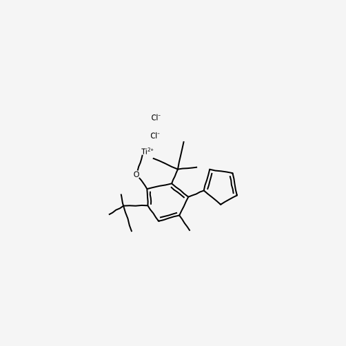 Cc1cc(C(C)(C)C)c([O][Ti+2])c(C(C)(C)C)c1C1=CC=CC1.[Cl-].[Cl-]